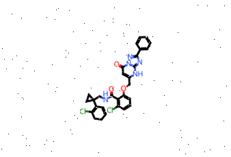 O=C(NCC1(C2=C(Cl)CCC=C2)CC1)c1c(Cl)cccc1OCc1cc(=O)n2nc(-c3ccccc3)nc2[nH]1